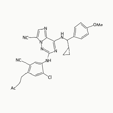 COc1ccc(C(Nc2nc(Nc3cc(C#N)c(CCC(C)=O)cc3Cl)nn3c(C#N)cnc23)C2CC2)cc1